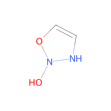 ON1NC=CO1